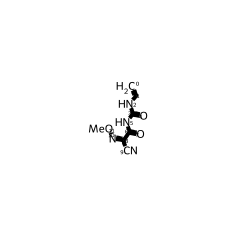 C=CNC(=O)NC(=O)C(C#N)=NOC